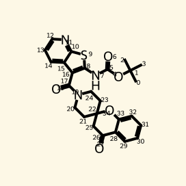 CC(C)(C)OC(=O)Nc1sc2ncccc2c1C(=O)N1CCC2(CC1)CC(=O)c1ccccc1O2